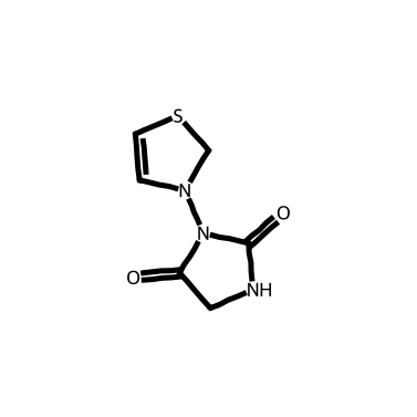 O=C1CNC(=O)N1N1C=CSC1